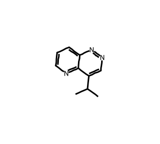 CC(C)c1cnnc2cccnc12